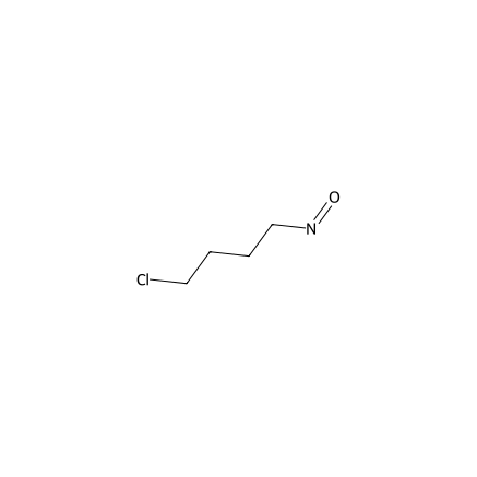 O=NCCCCCl